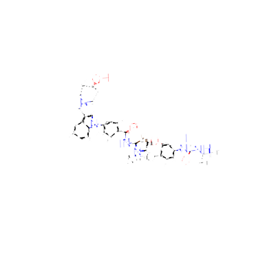 CCC(CC)NC(=O)Nc1ccc(OC)c(Oc2cnc(NC(=O)c3ccc(-n4cc(CN5CCC(O)CC5)c5ccccc54)cc3)s2)c1